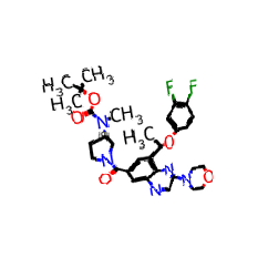 CC(Oc1ccc(F)c(F)c1)c1cc(C(=O)N2CC[C@H](N(C)C(=O)OC(C)(C)C)C2)cc2ncc(N3CCOCC3)nc12